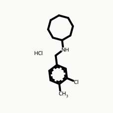 Cc1ccc(CNC2CCCCCCC2)cc1Cl.Cl